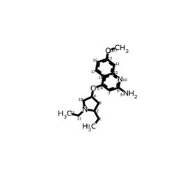 CCC1CC(Oc2cc(N)nc3cc(OC)ccc23)CN1CC